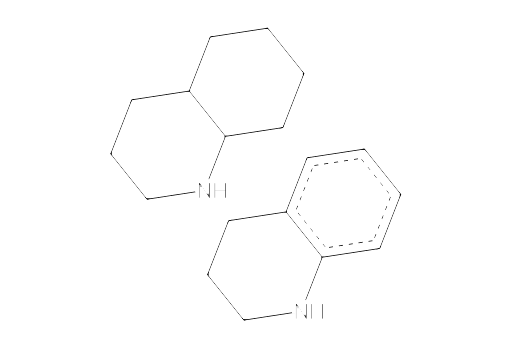 C1CCC2NCCCC2C1.c1ccc2c(c1)CCCN2